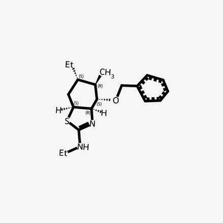 CCNC1=N[C@@H]2[C@@H](OCc3ccccc3)[C@H](C)[C@@H](CC)C[C@@H]2S1